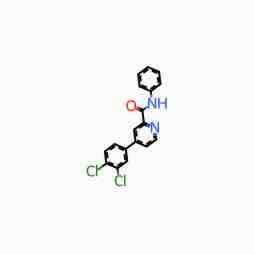 O=C(Nc1ccccc1)c1cc(-c2ccc(Cl)c(Cl)c2)ccn1